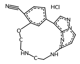 Cl.N#Cc1ccc2cc1OCCNCCNc1ccn3ncc-2c3n1